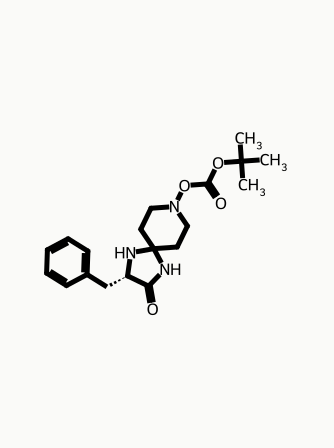 CC(C)(C)OC(=O)ON1CCC2(CC1)NC(=O)[C@H](Cc1ccccc1)N2